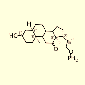 C[C@H](COP)[C@H]1CCC2C3CC[C@@H]4C[C@H](O)CC[C@]4(C)C3CC(=O)[C@@]21C